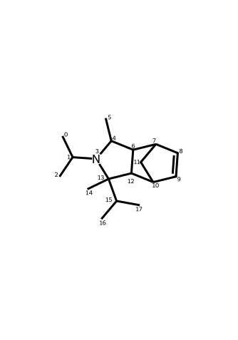 CC(C)N1C(C)C2C3C=CC(C3)C2C1(C)C(C)C